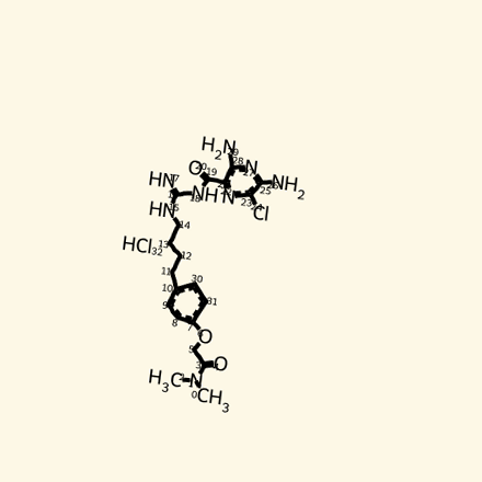 CN(C)C(=O)COc1ccc(CCCCNC(=N)NC(=O)c2nc(Cl)c(N)nc2N)cc1.Cl